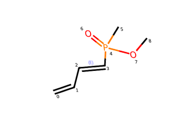 C=C/C=C/P(C)(=O)OC